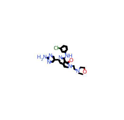 Nc1ncc(-c2cc3ccn(CCN4CCOCC4)c(=O)c3c(Nc3cccc(Cl)c3)n2)cn1